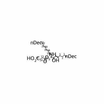 CCCCCCCCCCCCC/C=C/[C@H](O)[C@H](COC(=O)CCC(=O)O)NCCCCCCCCCCCCCCCC